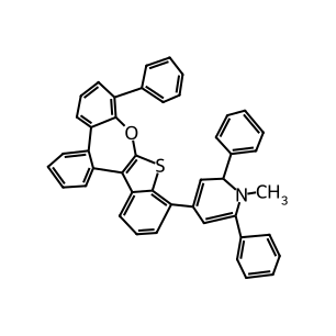 CN1C(c2ccccc2)=CC(c2cccc3c4c(sc23)Oc2c(-c3ccccc3)cccc2-c2ccccc2-4)=CC1c1ccccc1